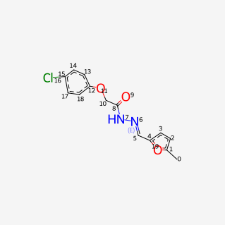 Cc1ccc(/C=N/NC(=O)COc2ccc(Cl)cc2)o1